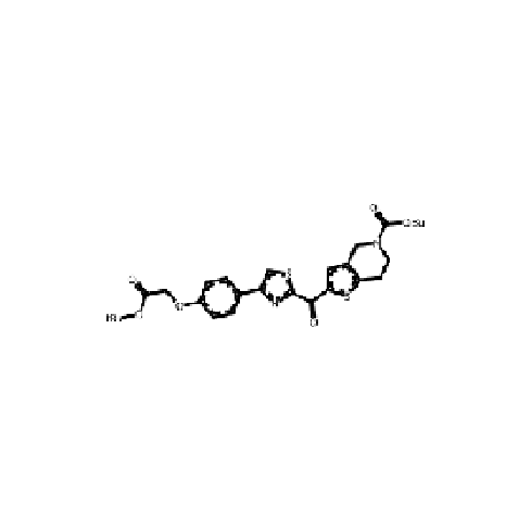 CC(C)COC(=O)N1CCc2sc(C(=O)c3nc(-c4ccc(OCC(=O)OC(C)(C)C)cc4)cs3)cc2C1